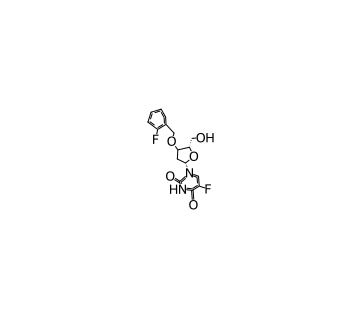 O=c1[nH]c(=O)n([C@@H]2CC(OCc3ccccc3F)[C@H](CO)O2)cc1F